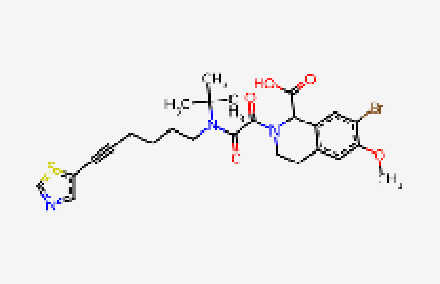 COc1cc2c(cc1Br)C(C(=O)O)N(C(=O)C(=O)N(CCCCC#Cc1cncs1)C(C)(C)C)CC2